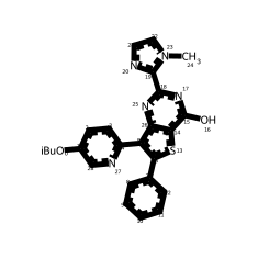 CC(C)COc1ccc(-c2c(-c3ccccc3)sc3c(O)nc(-c4nccn4C)nc23)nc1